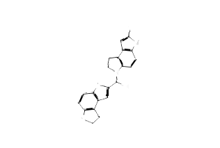 O=Cc1cc2c3c(ccc2[nH]1)N(C(O)c1cc2c4c(ccc2[nH]1)NCC4)CC3